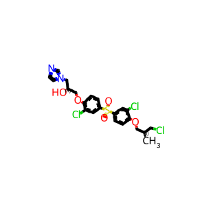 C[C@H](CCl)COc1ccc(S(=O)(=O)c2ccc(OC[C@H](O)Cn3ccnc3)c(Cl)c2)cc1Cl